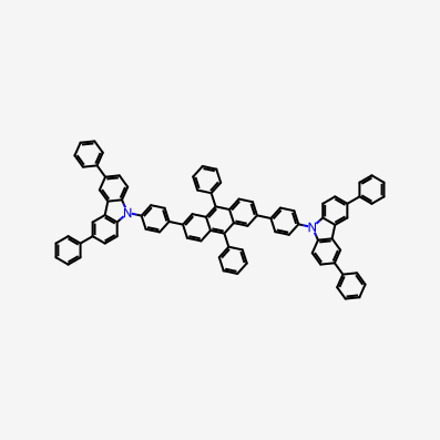 c1ccc(-c2ccc3c(c2)c2cc(-c4ccccc4)ccc2n3-c2ccc(-c3ccc4c(-c5ccccc5)c5cc(-c6ccc(-n7c8ccc(-c9ccccc9)cc8c8cc(-c9ccccc9)ccc87)cc6)ccc5c(-c5ccccc5)c4c3)cc2)cc1